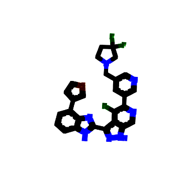 Fc1c(-c2cncc(CN3CCC(F)(F)C3)c2)ncc2[nH]nc(-c3nc4c(-c5ccsc5)cccc4[nH]3)c12